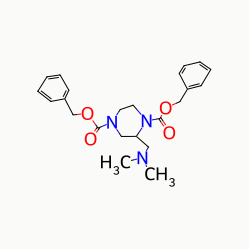 CN(C)CC1CN(C(=O)OCc2ccccc2)CCN1C(=O)OCc1ccccc1